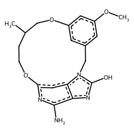 COc1cc2cc(c1)OCC(C)CCOc1cc3c(nc(O)n3C2)c(N)n1